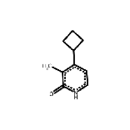 Cc1c(C2CCC2)cc[nH]c1=O